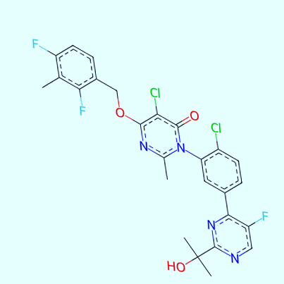 Cc1c(F)ccc(COc2nc(C)n(-c3cc(-c4nc(C(C)(C)O)ncc4F)ccc3Cl)c(=O)c2Cl)c1F